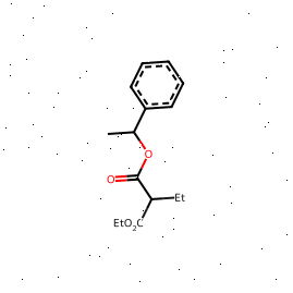 CCOC(=O)C(CC)C(=O)OC(C)c1ccccc1